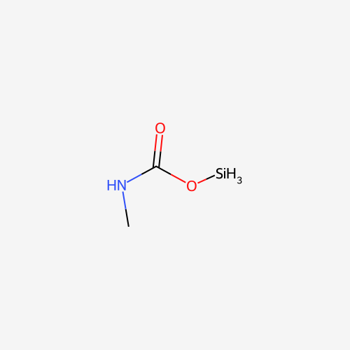 CNC(=O)O[SiH3]